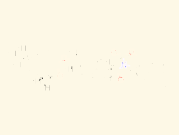 [2H]C([2H])([2H])c1ccc(C(=O)OC([2H])([2H])c2ccc(C([2H])([2H])C(=O)N3C(=O)OC[C@H]3Cc3ccccc3)cc2)c(C([2H])([2H])[2H])c1